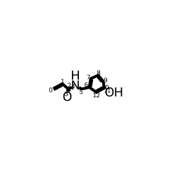 C=CC(=O)NCc1cccc(O)c1